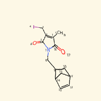 CC1=C(CI)C(=O)N(CC2CC3C=CC2C3)C1=O